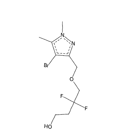 Cc1c(Br)c(COCC(F)(F)CCO)nn1C